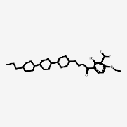 CCCC1CCC(C2CCC(C3CCC(CCCC(=O)c4ccc(OCC)c(C(F)F)c4O)CC3)CC2)CC1